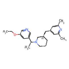 CCOc1cncc(C(C)N2CCC[C@H](Cc3cc(C)nc(C)c3)C2)c1